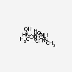 CCn1cc2[nH]c(=O)c(-c3nc4cc(C)c(NCCO)cc4[nH]3)c(Cl)c2n1